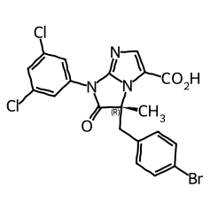 C[C@@]1(Cc2ccc(Br)cc2)C(=O)N(c2cc(Cl)cc(Cl)c2)c2ncc(C(=O)O)n21